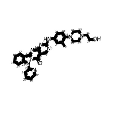 Cc1cc(Nc2ncc3c(=O)n4c(nc3n2)c2ccccc2n4-c2ccccn2)ccc1N1CCN(CCO)CC1